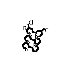 ClCc1ccnc(-c2cc(CCl)ccn2)c1.[Ru].c1ccc(-c2ccccn2)nc1.c1ccc(-c2ccccn2)nc1